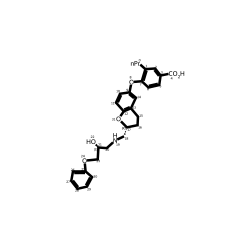 CCCc1cc(C(=O)O)ccc1Oc1ccc2c(c1)CC[C@H](CNC[C@H](O)COc1ccccc1)O2